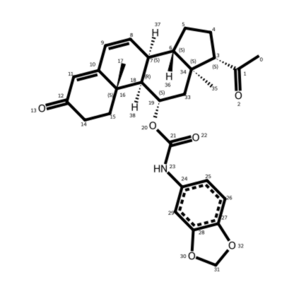 CC(=O)[C@H]1CC[C@H]2[C@@H]3C=CC4=CC(=O)CC[C@@]4(C)[C@@H]3[C@@H](OC(=O)Nc3ccc4c(c3)OCO4)C[C@]12C